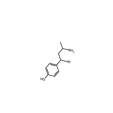 CC(N)CC(c1ccc(O)cc1)C(C)C